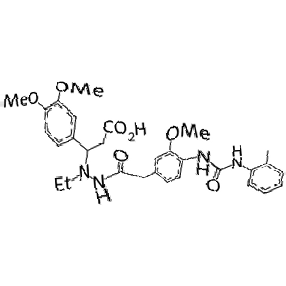 CCN(NC(=O)Cc1ccc(NC(=O)Nc2ccccc2C)c(OC)c1)C(CC(=O)O)c1ccc(OC)c(OC)c1